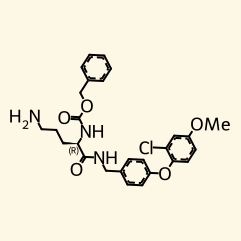 COc1ccc(Oc2ccc(CNC(=O)[C@@H](CCCN)NC(=O)OCc3ccccc3)cc2)c(Cl)c1